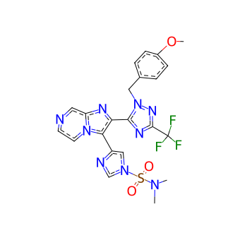 COc1ccc(Cn2nc(C(F)(F)F)nc2-c2nc3cnccn3c2-c2cn(S(=O)(=O)N(C)C)cn2)cc1